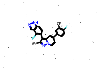 CC(C)c1nn2ccc(-c3ccc(F)c(C(F)(F)F)c3)cc2c1-c1ccc2[nH]ncc2c1F